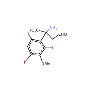 CNc1c(I)cc(I)c(C(N)(CC=O)C(=O)O)c1I